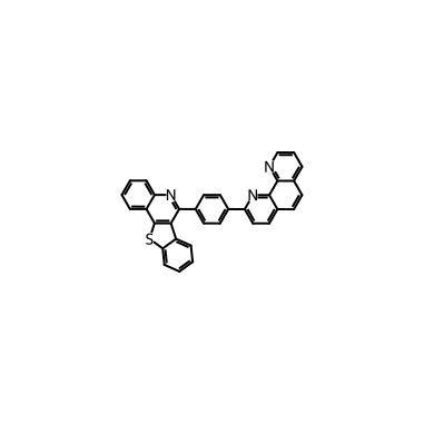 c1cnc2c(c1)ccc1ccc(-c3ccc(-c4nc5ccccc5c5sc6ccccc6c45)cc3)nc12